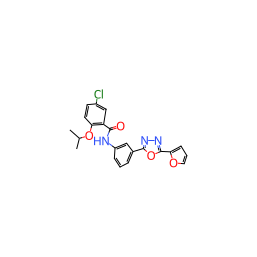 CC(C)Oc1ccc(Cl)cc1C(=O)Nc1cccc(-c2nnc(-c3ccco3)o2)c1